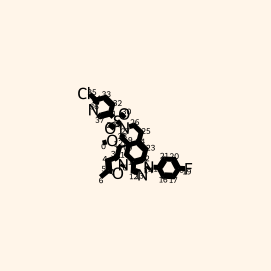 COC(c1cc(C)on1)[C@]12Cc3cnn(-c4ccc(F)cc4)c3C=C1CCN(S(=O)(=O)c1ccc(Cl)nc1)C2